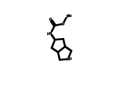 CC(C)(C)OC(=O)NC1CC2CNCC2C1